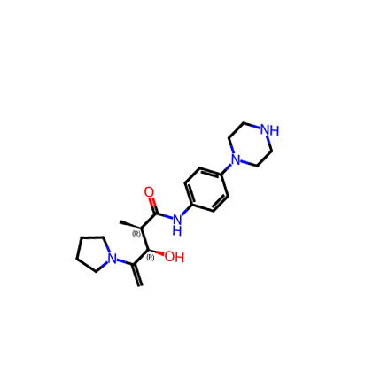 C=C([C@H](O)[C@@H](C)C(=O)Nc1ccc(N2CCNCC2)cc1)N1CCCC1